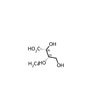 O=C(O)[C@H](O)[C@@H](O)CO.[CaH2]